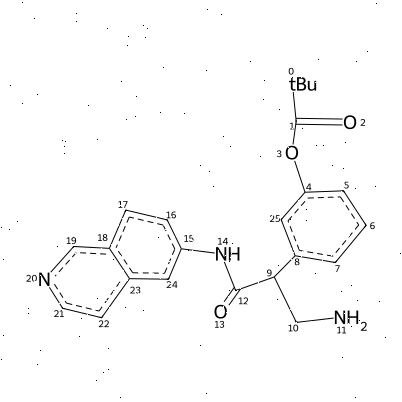 CC(C)(C)C(=O)Oc1cccc(C(CN)C(=O)Nc2ccc3cnccc3c2)c1